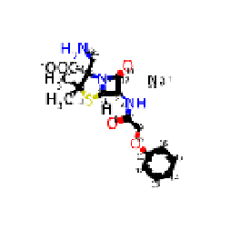 CC1(C)S[C@@H]2[C@H](NC(=O)COc3ccccc3)C(=O)N2[C@@]1(CN)C(=O)[O-].[Na+]